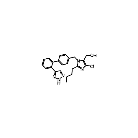 CCCCc1nc(Cl)c(CO)n1Cc1ccc(-c2ccccc2-c2cn[nH]n2)cc1